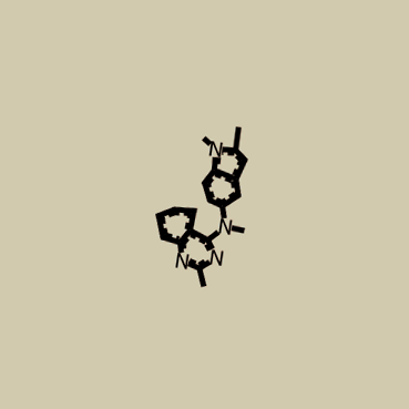 Cc1nc(N(C)c2ccc3c(c2)cc(C)n3C)c2ccccc2n1